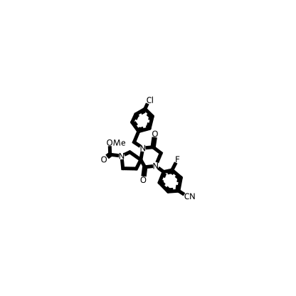 COC(=O)N1CCC2(C1)C(=O)N(c1ccc(C#N)cc1F)CC(=O)N2Cc1ccc(Cl)cc1